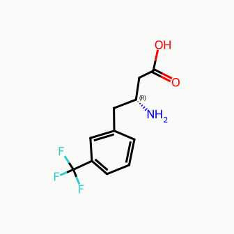 N[C@@H](CC(=O)O)Cc1cccc(C(F)(F)F)c1